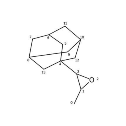 CC1OC1C12CC3CC(CC(C3)C1)C2